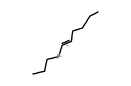 CCCC/C=C/[P]CCC